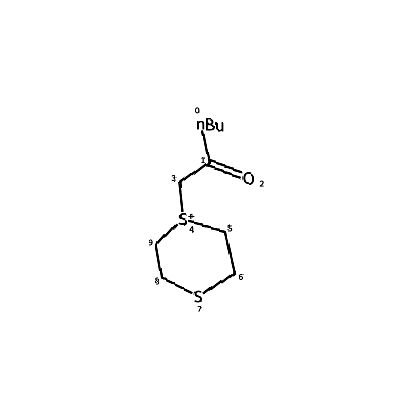 CCCCC(=O)C[S+]1CCSCC1